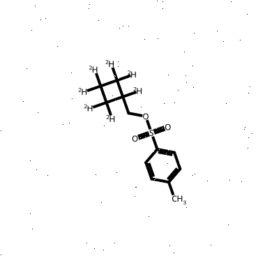 [2H]C1([2H])C([2H])([2H])C([2H])(COS(=O)(=O)c2ccc(C)cc2)C1([2H])[2H]